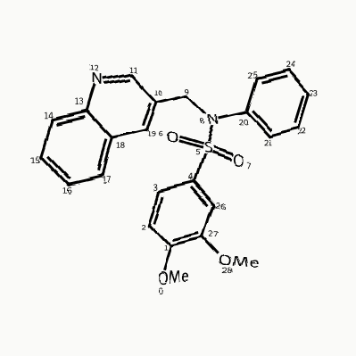 COc1ccc(S(=O)(=O)N(Cc2cnc3ccccc3c2)c2ccccc2)cc1OC